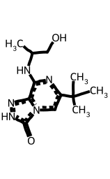 CC(CO)Nc1nc(C(C)(C)C)cn2c(=O)[nH]nc12